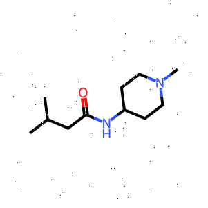 CC(C)CC(=O)NC1CCN(C)CC1